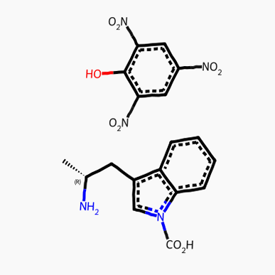 C[C@@H](N)Cc1cn(C(=O)O)c2ccccc12.O=[N+]([O-])c1cc([N+](=O)[O-])c(O)c([N+](=O)[O-])c1